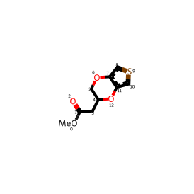 COC(=O)CC1COc2cscc2O1